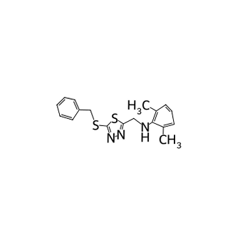 Cc1cccc(C)c1NCc1nnc(SCc2ccccc2)s1